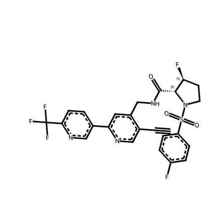 C#Cc1cnc(-c2ccc(C(F)(F)F)nc2)cc1CNC(=O)[C@@H]1[C@@H](F)CCN1S(=O)(=O)c1ccc(F)cc1